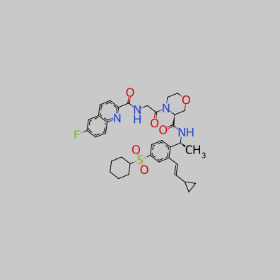 C[C@H](NC(=O)[C@@H]1COCCN1C(=O)CNC(=O)c1ccc2cc(F)ccc2n1)c1ccc(S(=O)(=O)C2CCCCC2)cc1/C=C/C1CC1